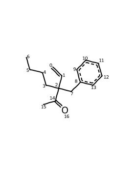 C=CC(CCCC)(Cc1ccccc1)C(C)=O